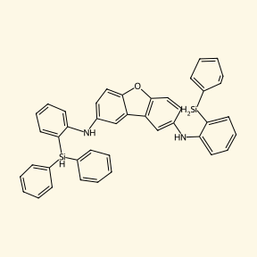 c1ccc([SiH2]c2ccccc2Nc2ccc3oc4ccc(Nc5ccccc5[SiH](c5ccccc5)c5ccccc5)cc4c3c2)cc1